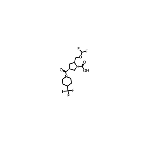 O=C([C@H]1C[C@@H](COC(F)F)N(C(=O)O)C1)N1CCC(C(F)(F)F)CC1